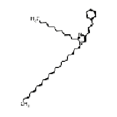 CCCCCCCCCCCCCCCCCCCn1cc(CCCc2ccccc2)nc1CCCCCCCCCC